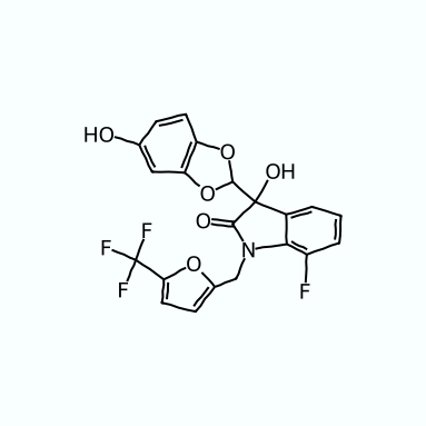 O=C1N(Cc2ccc(C(F)(F)F)o2)c2c(F)cccc2C1(O)C1Oc2ccc(O)cc2O1